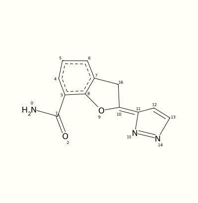 NC(=O)c1cccc2c1OC(=C1C=CN=N1)C2